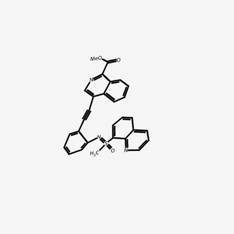 COC(=O)c1ncc(C#Cc2ccccc2N=S(C)(=O)c2cccc3cccnc23)c2ccccc12